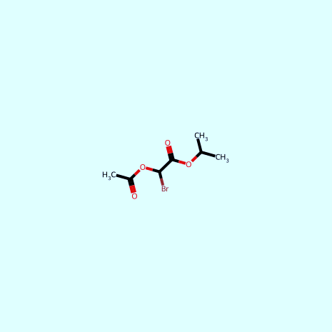 CC(=O)OC(Br)C(=O)OC(C)C